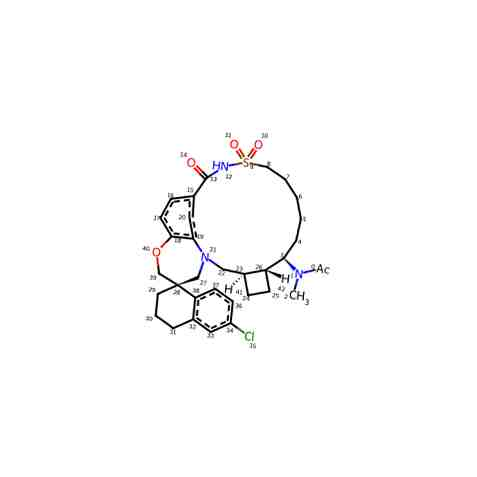 CC(=O)N(C)[C@@H]1CCCCCS(=O)(=O)NC(=O)c2ccc3c(c2)N(C[C@@H]2CC[C@H]21)C[C@@]1(CCCc2cc(Cl)ccc21)CO3